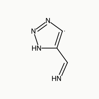 N=Cc1[c]nn[nH]1